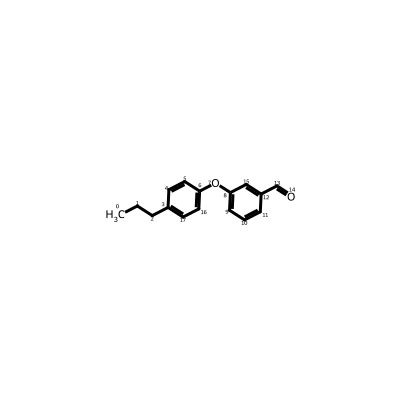 CCCc1ccc(Oc2cccc(C=O)c2)cc1